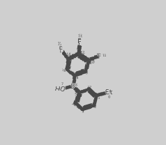 CCc1cccc(B(O)c2cc(F)c(F)c(F)c2)c1